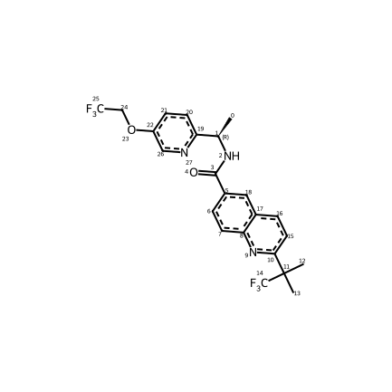 C[C@@H](NC(=O)c1ccc2nc(C(C)(C)C(F)(F)F)ccc2c1)c1ccc(OCC(F)(F)F)cn1